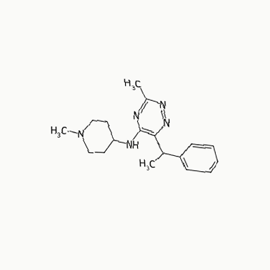 Cc1nnc(C(C)c2ccccc2)c(NC2CCN(C)CC2)n1